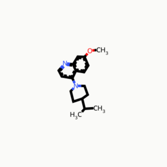 COc1ccc2c(N3CCC(C(C)C)CC3)ccnc2c1